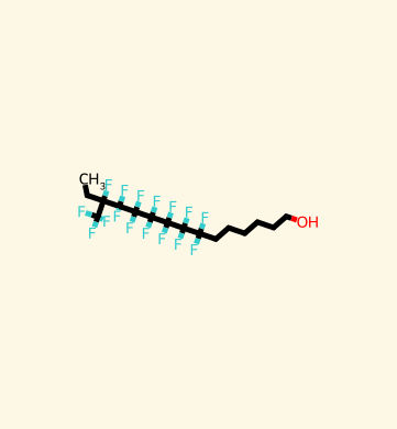 CCC(F)(C(F)(F)F)C(F)(F)C(F)(F)C(F)(F)C(F)(F)C(F)(F)C(F)(F)CCCCCCO